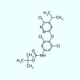 CC(C)c1cc(Oc2c(Cl)cc(NC(=O)OC(C)(C)C)cc2Cl)nnc1Cl